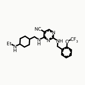 CCNC1CCC(CNc2nc(NCc3ccccc3OC(F)(F)F)ncc2C#N)CC1